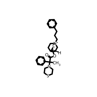 CC(C(=O)O[C@H]1C[N+]2(CCCc3ccccc3)CCC1CC2)(c1ccccc1)N1CCSCC1